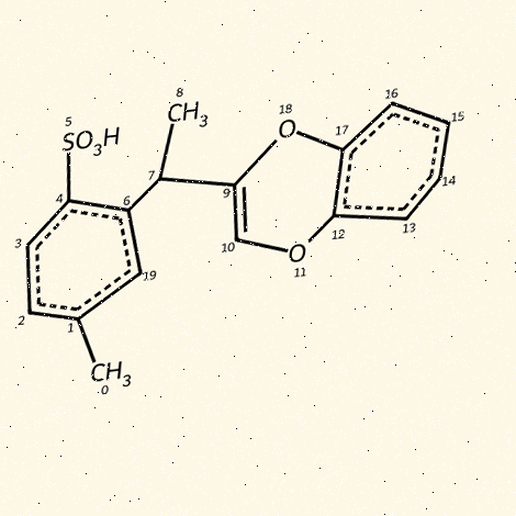 Cc1ccc(S(=O)(=O)O)c(C(C)C2=COc3ccccc3O2)c1